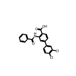 O=C(Nc1cc(-c2ccc(Cl)c(Cl)c2)ccc1C(=O)O)c1ccccc1